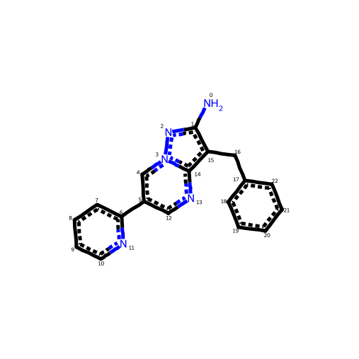 Nc1nn2cc(-c3ccccn3)cnc2c1Cc1ccccc1